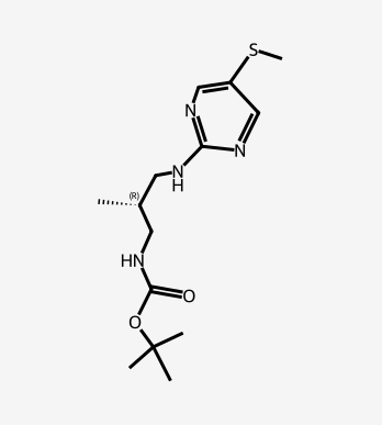 CSc1cnc(NC[C@@H](C)CNC(=O)OC(C)(C)C)nc1